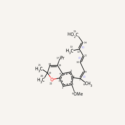 COc1cc2c(cc1\C(C)=C/C=C/C(C)=C/C(=O)O)C(C(C)C)=CC(C)(C)O2